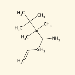 C=C[SiH2]C(N)[Si](C)(C)C(C)(C)C